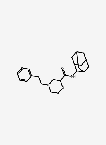 O=C(NC1C2CC3CC(C2)CC1C3)C1CN(CCc2ccccc2)CCO1